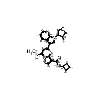 CNc1cc(-c2cn(C3COCC3F)c3ncccc23)nc2c(C(=O)NC3CCC3)cnn12